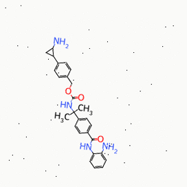 CC(C)(NC(=O)OCc1ccc(C2CC2N)cc1)c1ccc(C(=O)Nc2ccccc2N)cc1